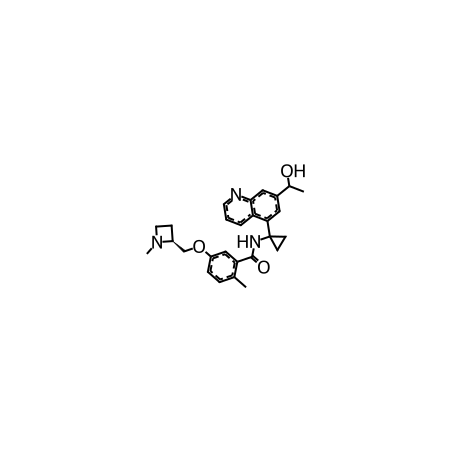 Cc1ccc(OC[C@@H]2CCN2C)cc1C(=O)NC1(c2cc(C(C)O)cc3ncccc23)CC1